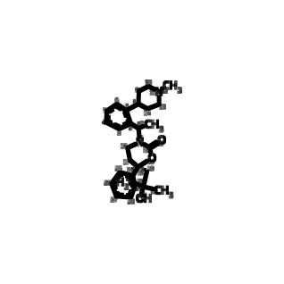 CC(c1ccccc1C1CCN(C)CC1)N1CC[C@](CC(C)(C)O)(c2ccccc2)OC1=O